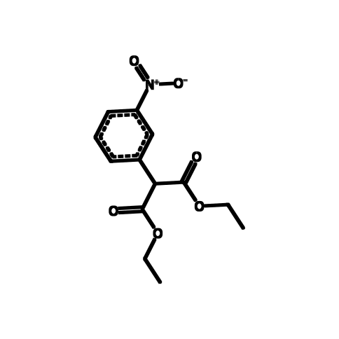 CCOC(=O)C(C(=O)OCC)c1cccc([N+](=O)[O-])c1